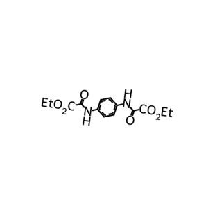 CCOC(=O)C(=O)Nc1ccc(NC(=O)C(=O)OCC)cc1